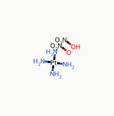 O=[N+]([O-])O.O=[N+]([O-])[O-].[NH2][Pt]([NH2])([NH2])[NH2]